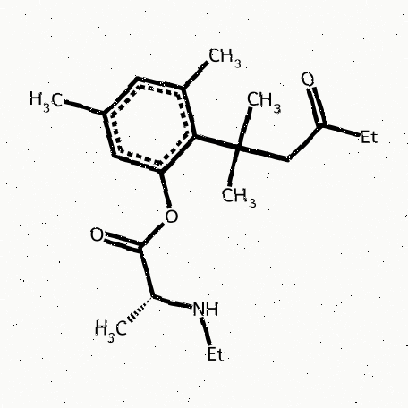 CCN[C@H](C)C(=O)Oc1cc(C)cc(C)c1C(C)(C)CC(=O)CC